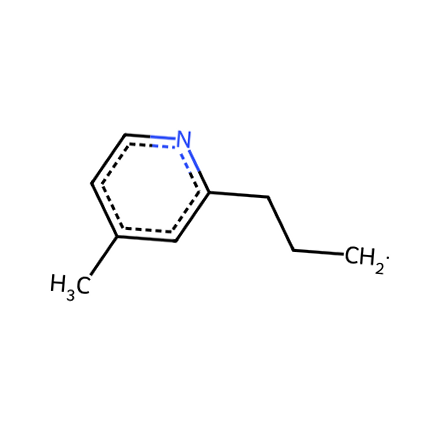 [CH2]CCc1cc(C)ccn1